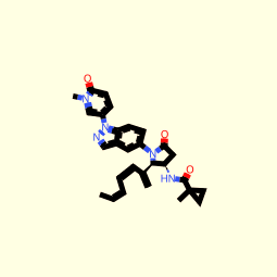 C=C(/C=C\C=C/C)[C@@H]1[C@@H](NC(=O)C2(C)CC2)CC(=O)N1c1ccc2c(cnn2-c2ccc(=O)n(C)c2)c1